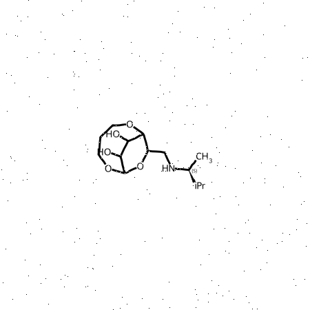 CC(C)[C@H](C)NCC1OC2OCCCOC1C(O)C2O